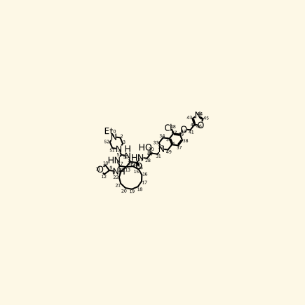 CCN1CCN(C2NC(NC3COC3)C3(CCCCCCCCCC3)C(C(=O)NC[C@H](O)CN3CCc4c(ccc(OCc5cnco5)c4Cl)C3)N2)CC1